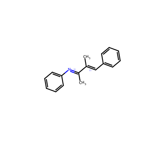 CC(=C\c1ccccc1)/C(C)=N/c1ccccc1